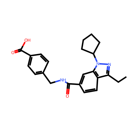 CCc1nn(C2CCCC2)c2cc(C(=O)NCc3ccc(C(=O)O)cc3)ccc12